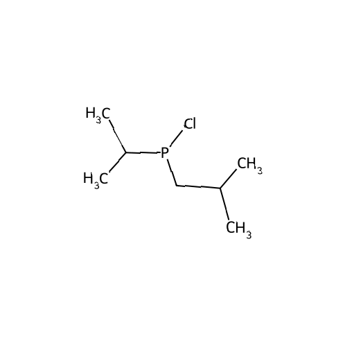 CC(C)CP(Cl)C(C)C